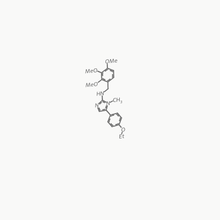 CCOc1ccc(-c2cnc(NCc3ccc(OC)c(OC)c3OC)n2C)cc1